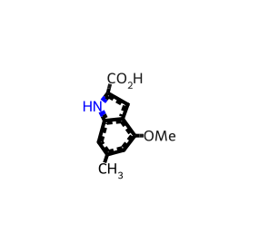 COc1cc(C)cc2[nH]c(C(=O)O)cc12